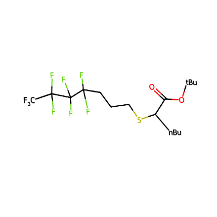 CCCCC(SCCCC(F)(F)C(F)(F)C(F)(F)C(F)(F)F)C(=O)OC(C)(C)C